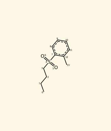 CCCCS(=O)(=O)c1ccccc1C